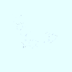 CC(O)Cn1cc(NC(=O)c2n[nH]c3ccc(OCc4c(Cl)cncc4Cl)cc23)cn1